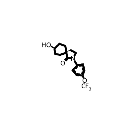 O=C1N(c2ccc(OC(F)(F)F)cc2)CC[C@]12CC[C@H](O)CC2